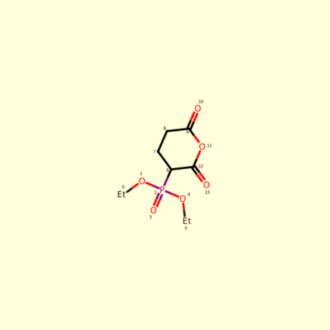 CCOP(=O)(OCC)C1CCC(=O)OC1=O